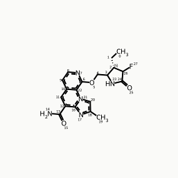 CC[C@H]1C(COc2nccc3cc(C(N)=O)c4nc(C)cn4c23)NC(=O)C1F